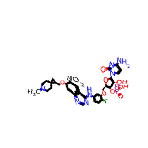 CN1CCC2(CC1)CC2COc1cc2ncnc(Nc3ccc(F)c(OC[C@H]4O[C@@H](n5ccc(N)nc5=O)[C@H](O)[C@@H]4O[PH](=O)O)c3)c2cc1[N+](=O)[O-]